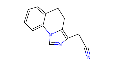 N#CCc1ncn2c1CCc1ccccc1-2